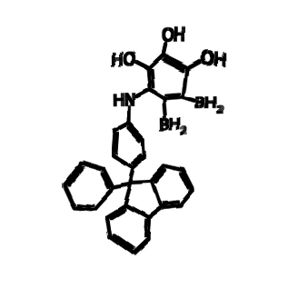 Bc1c(B)c(Nc2ccc(C3(c4ccccc4)c4ccccc4-c4ccccc43)cc2)c(O)c(O)c1O